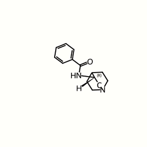 O=C(N[C@H]1CN2CCC1CC2)c1ccccc1